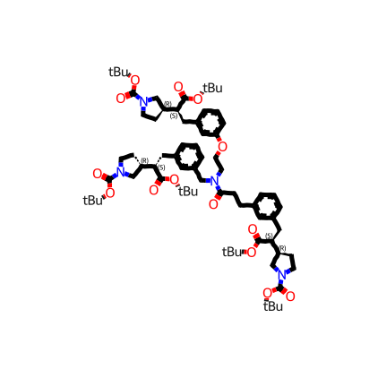 CC(C)(C)OC(=O)[C@@H](Cc1cccc(CCC(=O)N(CCOc2cccc(C[C@H](C(=O)OC(C)(C)C)[C@H]3CCN(C(=O)OC(C)(C)C)C3)c2)Cc2cccc(C[C@H](C(=O)OC(C)(C)C)[C@H]3CCN(C(=O)OC(C)(C)C)C3)c2)c1)[C@H]1CCN(C(=O)OC(C)(C)C)C1